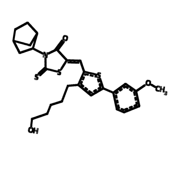 COc1cccc(-c2cc(CCCCCO)c(C=C3SC(=S)N(C4CC5CCC4C5)C3=O)s2)c1